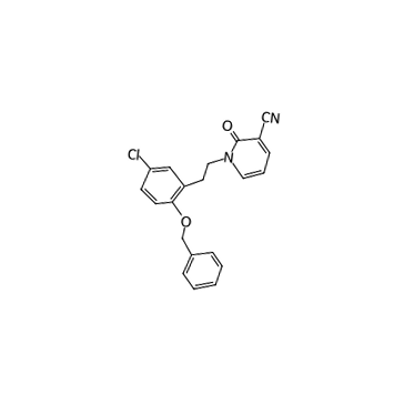 N#Cc1cccn(CCc2cc(Cl)ccc2OCc2ccccc2)c1=O